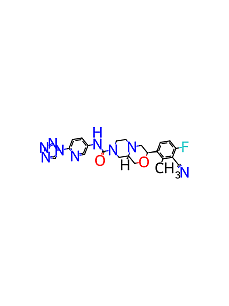 Cc1c([C@@H]2CN3CCN(C(=O)Nc4ccc(-n5cnnn5)nc4)C[C@H]3CO2)ccc(F)c1C#N